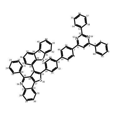 c1ccc(-c2cc(-c3ccc(-c4ccc(-c5sc6c(c(-c7ccccc7)nc7ccccc76)c5-c5cccc6c5sc5ccccc56)cc4)cc3)nc(-c3ccccc3)n2)cc1